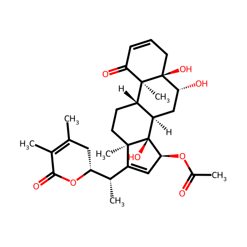 CC(=O)O[C@H]1C=C([C@H](C)[C@H]2CC(C)=C(C)C(=O)O2)[C@@]2(C)CC[C@H]3[C@@H](C[C@@H](O)[C@@]4(O)CC=CC(=O)[C@]34C)[C@]12O